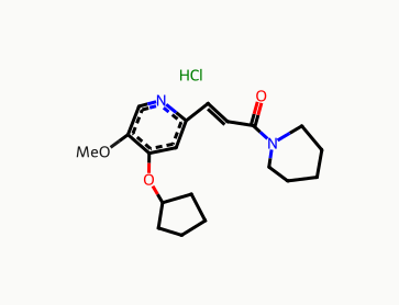 COc1cnc(C=CC(=O)N2CCCCC2)cc1OC1CCCC1.Cl